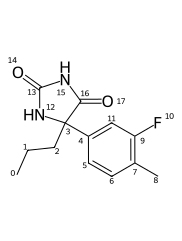 CCCC1(c2ccc(C)c(F)c2)NC(=O)NC1=O